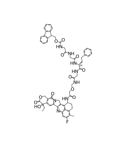 CC[C@@]1(O)C(=O)OCc2c1cc1n(c2=O)Cc2c-1nc1cc(F)c(C)c3c1c2C(NC(=O)COCNC(=O)CNC(=O)[C@H](CCc1ccccc1)NC(=O)CNC(=O)CNC(=O)OCC1c2ccccc2-c2ccccc21)CC3